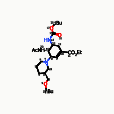 CCCCOC[C@H]1CCCN([C@@H]2C=C(C(=O)OCC)C[C@H](NC(=O)OC(C)(C)C)[C@H]2NC(C)=O)C1